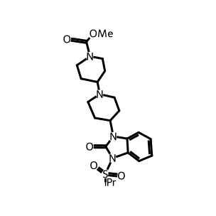 COC(=O)N1CCC(N2CCC(n3c(=O)n(S(=O)(=O)C(C)C)c4ccccc43)CC2)CC1